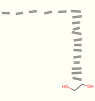 C=C.C=C.C=C.C=C.C=C.C=C.C=C.C=C.C=C.C=C.C=C.C=C.C=C.C=C.C=C.C=C.C=C.C=C.OCCO